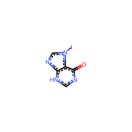 O=c1nc[nH]c2ncn(I)c12